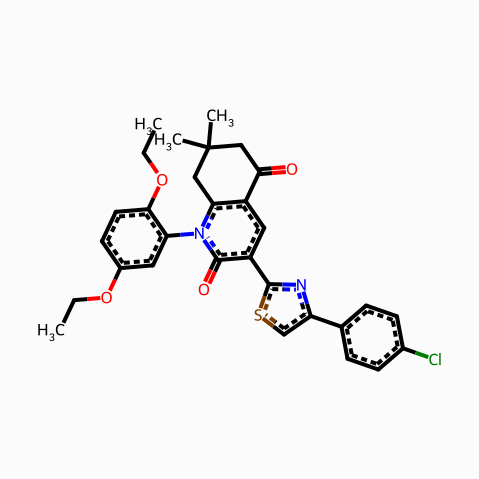 CCOc1ccc(OCC)c(-n2c3c(cc(-c4nc(-c5ccc(Cl)cc5)cs4)c2=O)C(=O)CC(C)(C)C3)c1